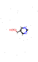 OOCc1cncnc1